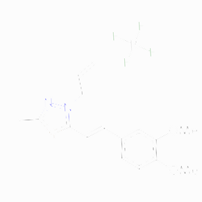 C=CC[n+]1nc(C)sc1/C=C/c1ccc(OC)c(OC)c1.F[B-](F)(F)F